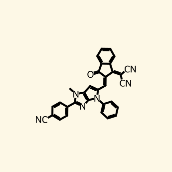 Cn1c(-c2ccc(C#N)cc2)nc2c1cc(/C=C1\C(=O)c3ccccc3C1=C(C#N)C#N)n2-c1ccccc1